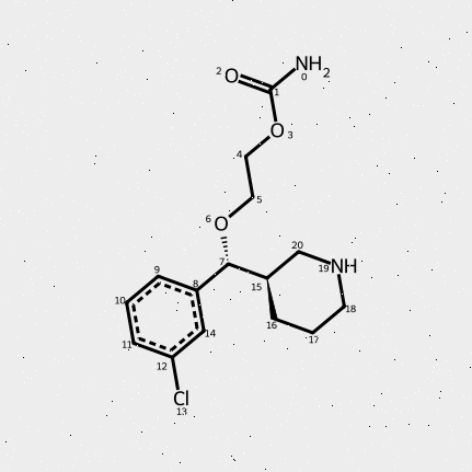 NC(=O)OCCO[C@@H](c1cccc(Cl)c1)[C@@H]1CCCNC1